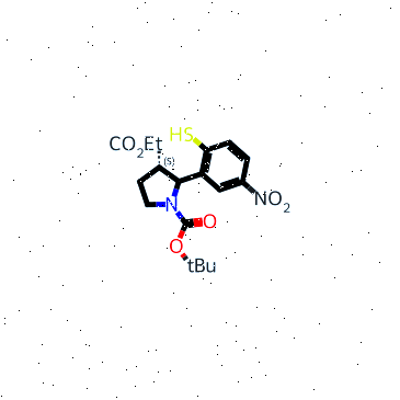 CCOC(=O)[C@H]1CCN(C(=O)OC(C)(C)C)C1c1cc([N+](=O)[O-])ccc1S